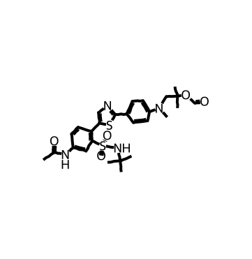 CC(=O)Nc1ccc(-c2cnc(-c3ccc(N(C)CC(C)(C)OC=O)cc3)s2)c(S(=O)(=O)NC(C)(C)C)c1